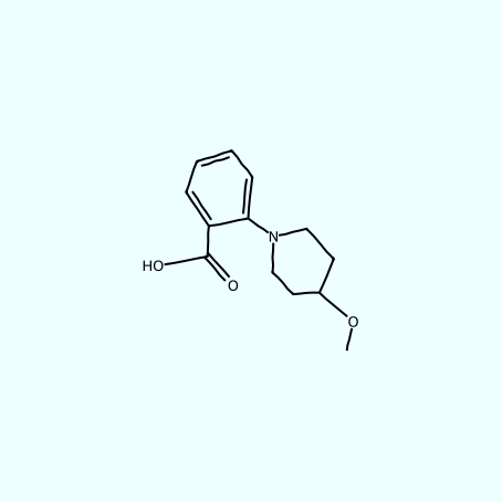 COC1CCN(c2ccccc2C(=O)O)CC1